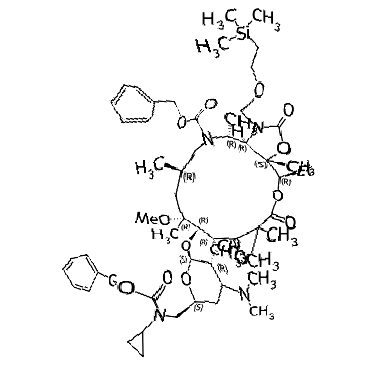 CC[C@H]1OC(=O)C(C)(C)C(=O)[C@H](C)[C@@H](O[C@@H]2O[C@H](CN(C(=O)OCc3ccccc3)C3CC3)CC(N(C)C)[C@H]2C)[C@](C)(OC)C[C@@H](C)CN(C(=O)OCc2ccccc2)[C@H](C)[C@H]2N(COCC[Si](C)(C)C)C(=O)O[C@]12C